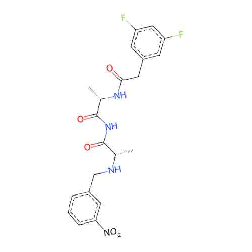 C[C@H](NCc1cccc([N+](=O)[O-])c1)C(=O)NC(=O)[C@H](C)NC(=O)Cc1cc(F)cc(F)c1